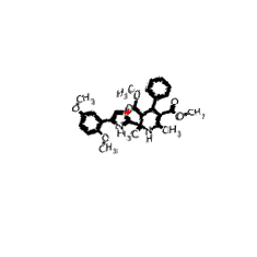 COC(=O)C1=C(C)NC(C)(c2nc(-c3cc(OC)ccc3OC)cs2)C(C(=O)OC)C1c1ccccc1